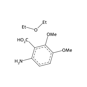 CCOCC.COc1ccc(N)c(C(=O)O)c1OC